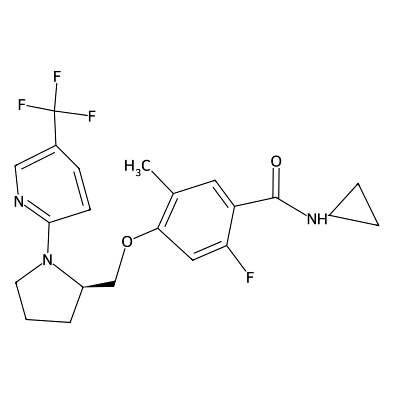 Cc1cc(C(=O)NC2CC2)c(F)cc1OC[C@H]1CCCN1c1ccc(C(F)(F)F)cn1